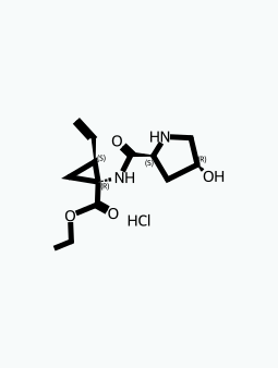 C=C[C@@H]1C[C@]1(NC(=O)[C@@H]1C[C@@H](O)CN1)C(=O)OCC.Cl